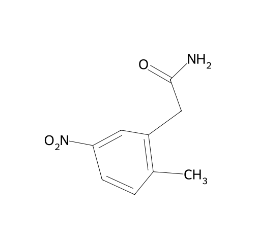 Cc1ccc([N+](=O)[O-])cc1CC(N)=O